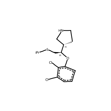 CC(C)SC[C@H](Oc1cccc(Cl)c1Cl)[C@H]1CCNC1